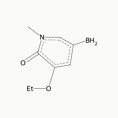 Bc1cc(OCC)c(=O)n(C)c1